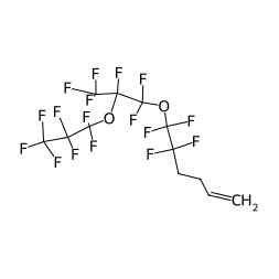 C=CCCC(F)(F)C(F)(F)OC(F)(F)C(F)(OC(F)(F)C(F)(F)C(F)(F)F)C(F)(F)F